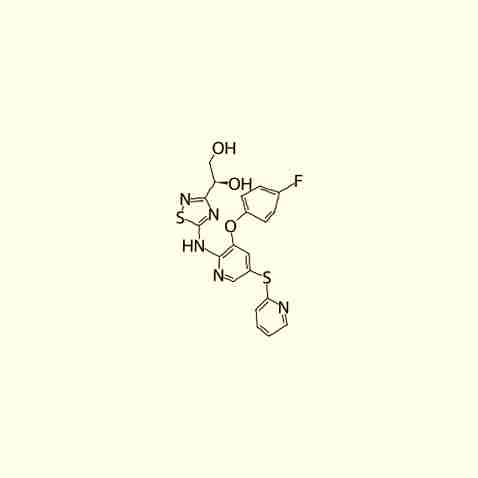 OC[C@@H](O)c1nsc(Nc2ncc(Sc3ccccn3)cc2Oc2ccc(F)cc2)n1